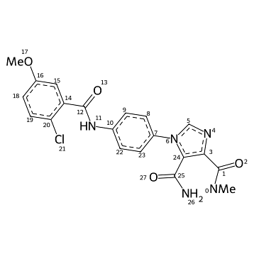 CNC(=O)c1ncn(-c2ccc(NC(=O)c3cc(OC)ccc3Cl)cc2)c1C(N)=O